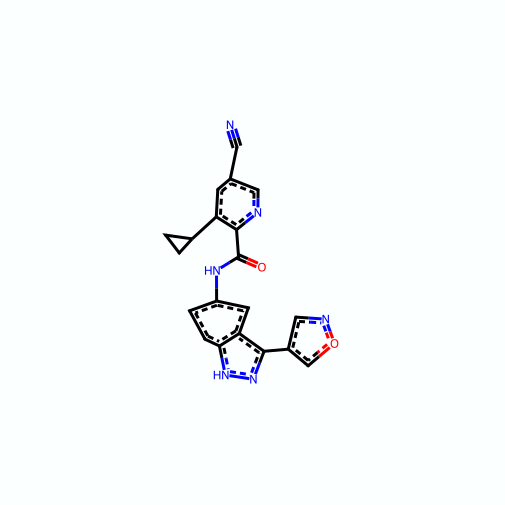 N#Cc1cnc(C(=O)Nc2ccc3[nH]nc(-c4cnoc4)c3c2)c(C2CC2)c1